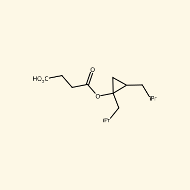 CC(C)CC1CC1(CC(C)C)OC(=O)CCC(=O)O